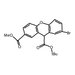 COC(=O)c1ccc2c(c1)C(C(=O)OC(C)(C)C)c1cc(Br)ccc1O2